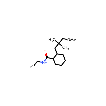 COCC(C)(C)CC1CCCCC1C(=O)NCC(C)C